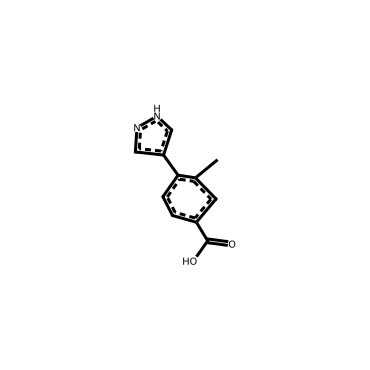 Cc1cc(C(=O)O)ccc1-c1cn[nH]c1